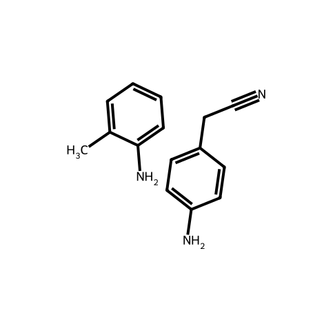 Cc1ccccc1N.N#CCc1ccc(N)cc1